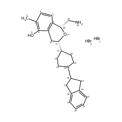 Br.Br.Cc1ccc2c(c1O)C[C@@H](C1CCN(C3Cc4ccccc4C3)CC1)O[C@H]2CN